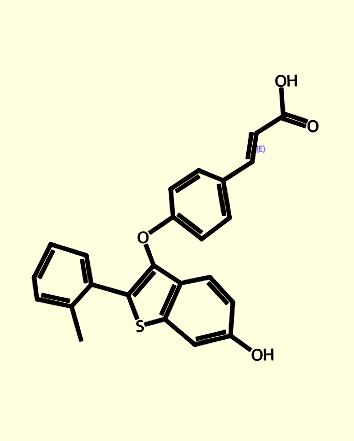 Cc1ccccc1-c1sc2cc(O)ccc2c1Oc1ccc(/C=C/C(=O)O)cc1